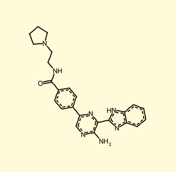 Nc1ncc(-c2ccc(C(=O)NCCN3CCCC3)cc2)nc1-c1nc2ccccc2[nH]1